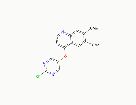 COc1cc2nccc(Oc3cnc(Cl)nc3)c2cc1OC